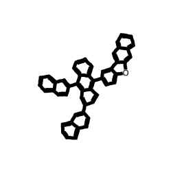 c1ccc2cc(-c3ccc4c(-c5ccc6oc7cc8ccccc8cc7c6c5)c5ccccc5c(-c5ccc6ccccc6c5)c4c3)ccc2c1